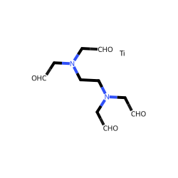 O=CCN(CC=O)CCN(CC=O)CC=O.[Ti]